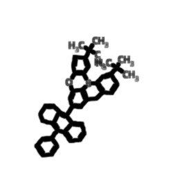 CC(C)(C)c1ccc2c(c1)B1c3cc(C(C)(C)C)ccc3Oc3cc(-c4c5c(c(-c6ccccc6)c6ccccc46)CCC=C5)cc(c31)C2